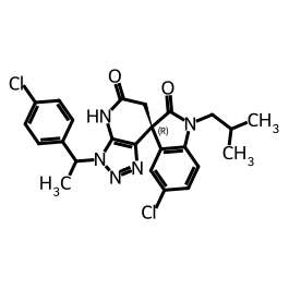 CC(C)CN1C(=O)[C@]2(CC(=O)Nc3c2nnn3C(C)c2ccc(Cl)cc2)c2cc(Cl)ccc21